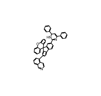 C1=C(c2ccccc2)N=C(c2ccc3c(c2)C2(c4ccccc4Oc4ccccc42)c2cc(-c4cccc5cnccc45)ccc2-3)NC1c1ccccc1